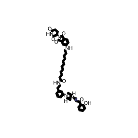 O=C(CCCCCCCCCCCNc1ccc2c(c1)C(=O)N(C1CCC(=O)NC1=O)C2=O)NCCc1cccc(N2C[C@H]3C[C@@H]2CN3/C=C/C(=O)c2ccccc2O)c1